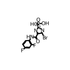 O=C(Nc1ccc(F)cc1F)c1nn(P(=O)(O)O)nc1Br